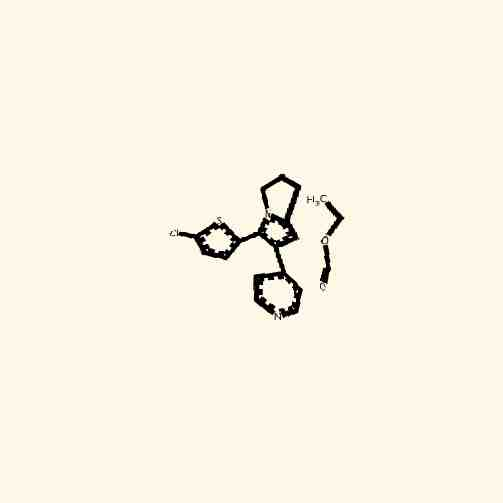 CCOC=O.Clc1ccc(-c2c(-c3ccncc3)cc3n2CCC3)s1